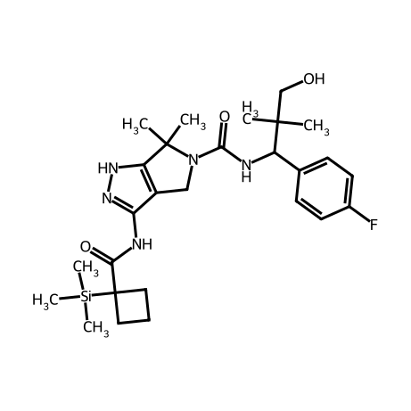 CC(C)(CO)C(NC(=O)N1Cc2c(NC(=O)C3([Si](C)(C)C)CCC3)n[nH]c2C1(C)C)c1ccc(F)cc1